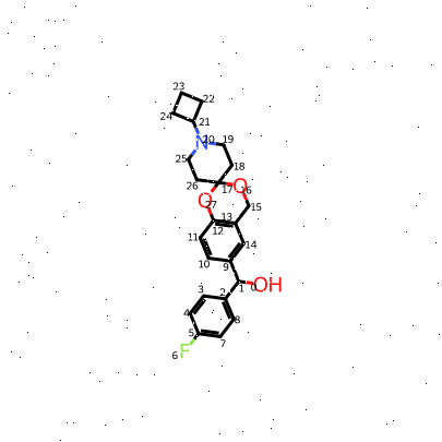 OC(c1ccc(F)cc1)c1ccc2c(c1)COC1(CCN(C3CCC3)CC1)O2